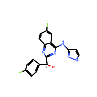 O[C@@H](c1ccc(F)cc1)c1nc(Nc2cc[nH]n2)c2cc(F)ccc2n1